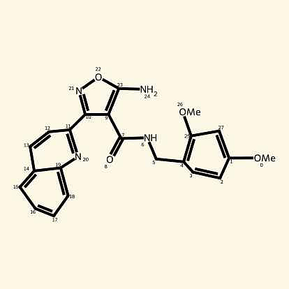 COc1ccc(CNC(=O)c2c(-c3ccc4ccccc4n3)noc2N)c(OC)c1